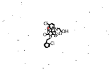 CN1C(=O)N(CCc2ccccc2Cl)C(=O)C12C(=O)N(CC(=O)O)c1ccc(Cl)cc12